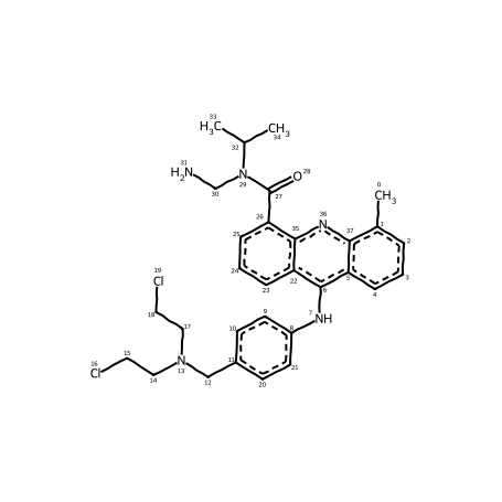 Cc1cccc2c(Nc3ccc(CN(CCCl)CCCl)cc3)c3cccc(C(=O)N(CN)C(C)C)c3nc12